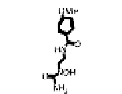 COc1ccc(C(=O)NCCN(O)C(N)=O)cc1